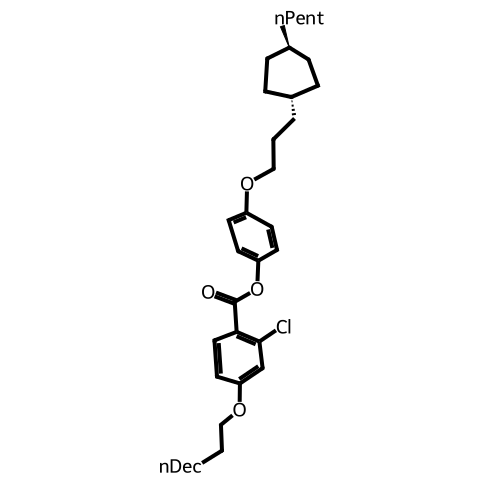 CCCCCCCCCCCCOc1ccc(C(=O)Oc2ccc(OCCC[C@H]3CC[C@H](CCCCC)CC3)cc2)c(Cl)c1